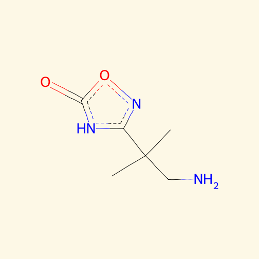 CC(C)(CN)c1noc(=O)[nH]1